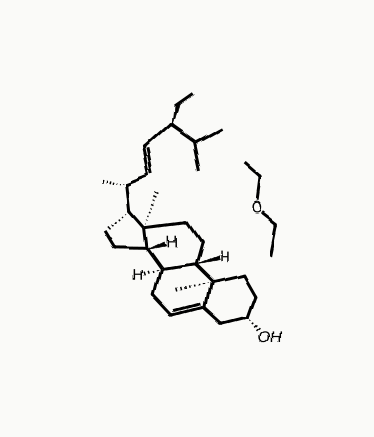 CCOCC.CC[C@H](/C=C/[C@@H](C)[C@H]1CC[C@H]2[C@@H]3CC=C4C[C@@H](O)CC[C@]4(C)[C@H]3CC[C@]12C)C(C)C